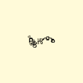 COc1cc(C)c(S(=O)(=O)N2CCCCC2COCC(=O)NCCN2CCN(Cc3ccccc3)CC2)c(C)c1